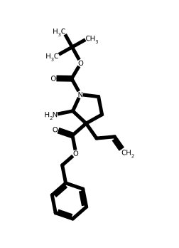 C=CCC1(C(=O)OCc2ccccc2)CCN(C(=O)OC(C)(C)C)C1N